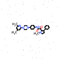 Cc1cc(C)nc(N2CCN(c3ccc(NC(=O)C(=O)c4c(-c5ccccc5)ccn4C)cc3)CC2)c1